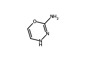 NC1=NNC=CO1